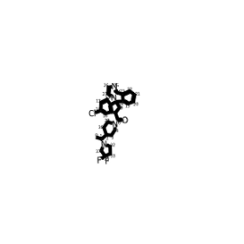 CC(C1CCN(C(=O)CCC2(c3ccc(Cl)cc3)c3ccccc3-c3nccn32)CC1)N1CCC(F)(F)C1